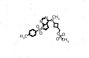 Cc1ccc(S(=O)(=O)n2ccc3c(N(C)C4CC(COS(C)(=O)=O)C4)ncnc32)cc1